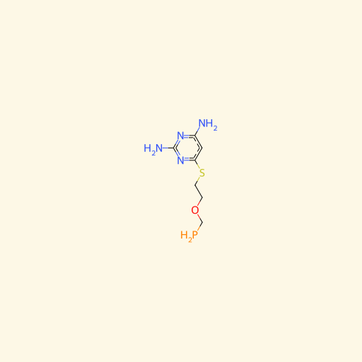 Nc1cc(SCCOCP)nc(N)n1